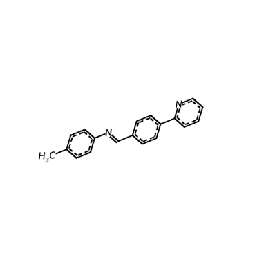 Cc1ccc(N=Cc2ccc(-c3ccccn3)cc2)cc1